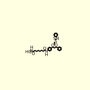 O=C(CCCCCCC(=O)Nc1ccc(C2CC(c3ccccc3)OC(CSc3nc4ccccc4s3)O2)cc1)NO